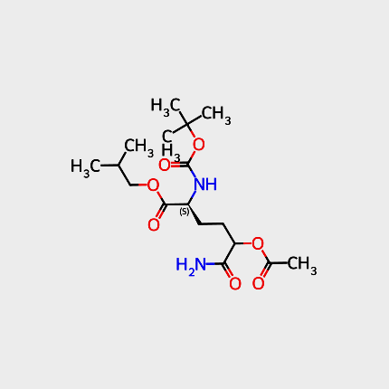 CC(=O)OC(CC[C@H](NC(=O)OC(C)(C)C)C(=O)OCC(C)C)C(N)=O